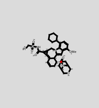 COc1ccc(C2CCCCC2)c2c1cc1n2CC2=C(C(=O)NS(=O)(=O)CC(C)C)C2=C2C=CC[C@@H](C(=O)N3C4COCC3COC4)C21